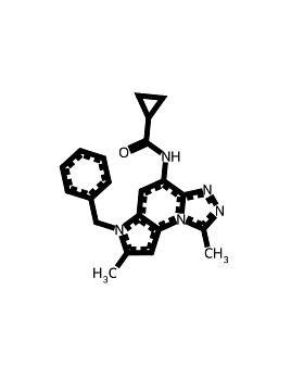 Cc1cc2c(cc(NC(=O)C3CC3)c3nnc(C)n32)n1Cc1ccccc1